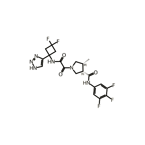 C[C@H]1CN(C(=O)C(=O)NC2(c3c[nH]nn3)CC(F)(F)C2)C[C@H]1C(=O)Nc1cc(F)c(F)c(F)c1